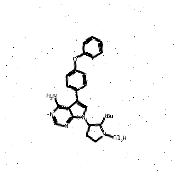 CC(C)(C)C1C(n2cc(-c3ccc(Oc4ccccc4)cc3)c3c(N)ncnc32)CCN1C(=O)O